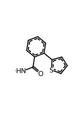 [NH]C(=O)c1ccccc1-c1cccs1